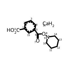 O=C(O)c1cccc(C(=O)ON2CCCCC2)c1.[CaH2]